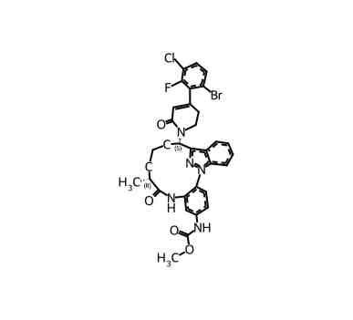 COC(=O)Nc1ccc2c(c1)NC(=O)[C@H](C)CCC[C@H](N1CCC(c3c(Br)ccc(Cl)c3F)=CC1=O)c1nn-2c2ccccc12